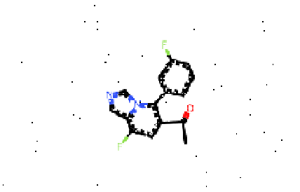 CC(=O)c1cc(F)c2cncn2c1-c1cccc(F)c1